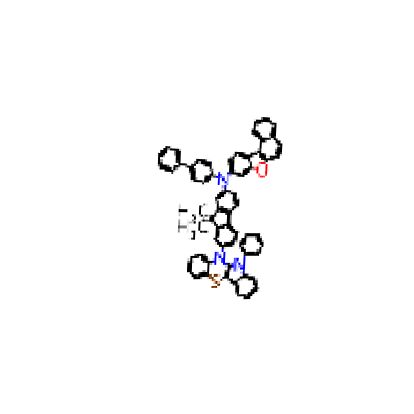 CC1(C)c2cc(N(c3ccc(-c4ccccc4)cc3)c3ccc4c(c3)oc3ccc5ccccc5c34)ccc2-c2ccc(N3c4ccccc4Sc4c3n(-c3ccccc3)c3ccccc43)cc21